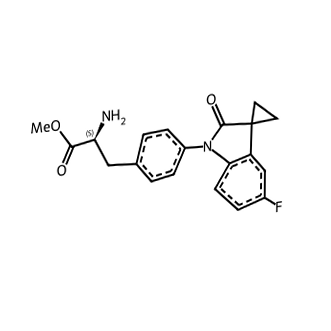 COC(=O)[C@@H](N)Cc1ccc(N2C(=O)C3(CC3)c3cc(F)ccc32)cc1